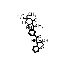 CCC1(CC)CC(=O)N(C(C)c2cccc(C(=O)N[C@@H]3c4ccccc4OC[C@@]3(C)O)c2)C(=N)N1